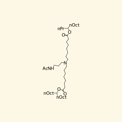 CCCCCCCCC(CCC)OC(=O)CCCCCCCN(CCCCCCCC(=O)OC(CCCCCCCC)CCCCCCCC)CCCNC(C)=O